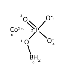 BOP(=O)([O-])[O-].[Co+2]